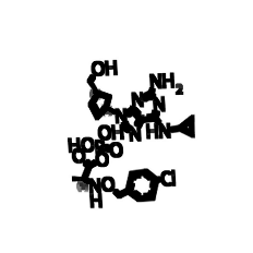 C[C@H](NOCc1ccc(Cl)cc1)C(=O)OP(=O)(O)O.Nc1nc(NC2CC2)c2ncn([C@H]3C=C[C@@H](CO)C3)c2n1